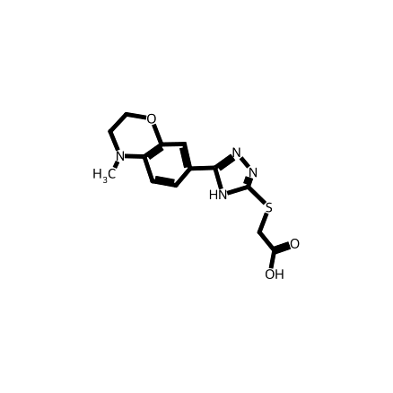 CN1CCOc2cc(-c3nnc(SCC(=O)O)[nH]3)ccc21